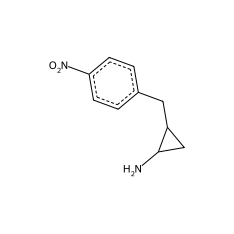 NC1CC1Cc1ccc([N+](=O)[O-])cc1